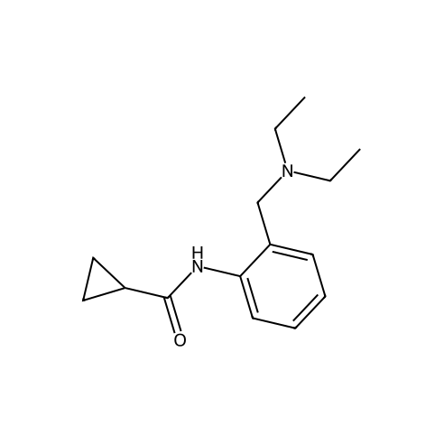 CCN(CC)Cc1ccccc1NC(=O)C1CC1